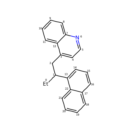 CCC(Cc1ccnc2ccccc12)c1cccc2ccccc12